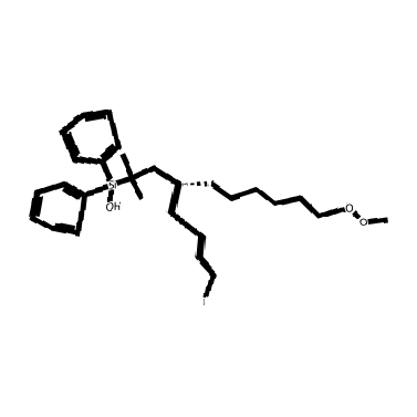 COOCCCCCC[C@H](CCCCI)CC(C)(C)[Si](O)(c1ccccc1)c1ccccc1